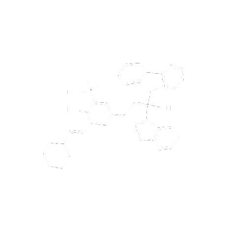 CC(C)(C)c1cc(CCC(C)(C2=CCc3ccccc32)C2c3ccccc3-c3ccccc32)cc(/C=N/C2CCCCC2)c1O